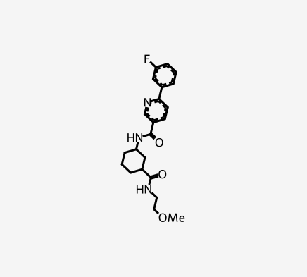 COCCNC(=O)C1CCCC(NC(=O)c2ccc(-c3cccc(F)c3)nc2)C1